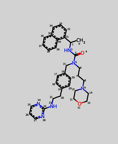 CC(NC(=O)N(CCCN1CCOCC1)Cc1ccc(CCNc2ncccn2)cc1)c1cccc2ccccc12